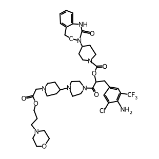 Nc1c(Cl)cc(CC(OC(=O)N2CCC(N3CCc4ccccc4NC3=O)CC2)C(=O)N2CCN(C3CCN(CC(=O)OCCCN4CCOCC4)CC3)CC2)cc1C(F)(F)F